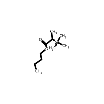 CCCCOC(=O)C(C)[Si](C)(C)C